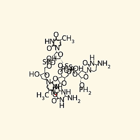 Cc1cn([C@H]2CC(O)[C@@H](COP(O)(=S)OC3C[C@H](n4cc(C)c(=O)[nH]c4=O)O[C@@H]3COP(O)(=S)O[C@@H]3C[C@H](n4cnc5c4NC(N)NC5=O)O[C@@H]3COP(O)(=S)O[C@@H]3C[C@H](N4CCC(N)NC4=O)O[C@@H]3COP)O2)c(=O)[nH]c1=O